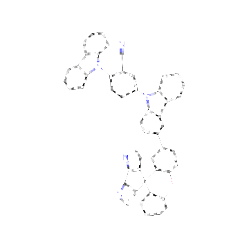 N#Cc1cc(-n2c3ccccc3c3cc(-c4ccc5c(c4)C4(c6ccccc6O5)c5cccnc5-c5ncccc54)ccc32)ccc1-n1c2ccccc2c2ccccc21